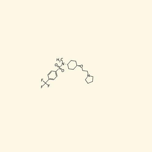 CN([C@H]1CC[C@H](OCCN2CCCC2)CC1)S(=O)(=O)c1ccc(C(F)(F)F)cc1